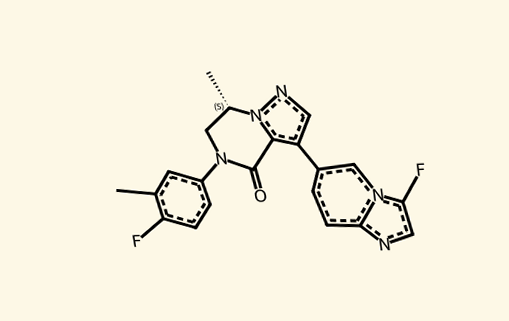 Cc1cc(N2C[C@H](C)n3ncc(-c4ccc5ncc(F)n5c4)c3C2=O)ccc1F